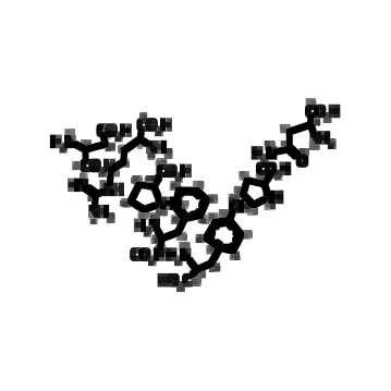 N=C(N)NCCCC(N)C(=O)O.NC(=O)CC(N)C(=O)O.NC(CC(=O)O)C(=O)O.NC(Cc1ccc(O)cc1)C(=O)O.NC(Cc1ccccc1)C(=O)O.O=C(O)[C@@H]1CCCN1.O=C(O)[C@@H]1CCCN1